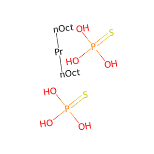 CCCCCCC[CH2][Pr][CH2]CCCCCCC.OP(O)(O)=S.OP(O)(O)=S